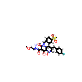 COCCNC(=O)c1c(O)c2ncc(Cc3ccc(F)cc3)cc2n(Cc2ccc(S(C)(=O)=O)cc2)c1=O